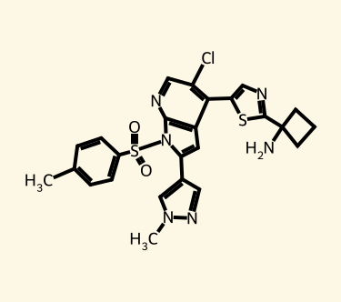 Cc1ccc(S(=O)(=O)n2c(-c3cnn(C)c3)cc3c(-c4cnc(C5(N)CCC5)s4)c(Cl)cnc32)cc1